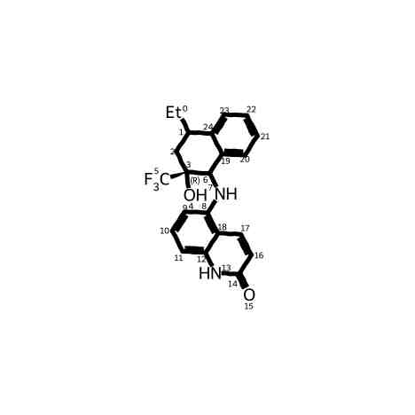 CCC1C[C@](O)(C(F)(F)F)C(Nc2cccc3[nH]c(=O)ccc23)c2ccccc21